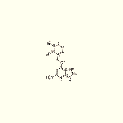 Nc1cc(OCc2cccc(Br)c2F)c2nn[nH]c2n1